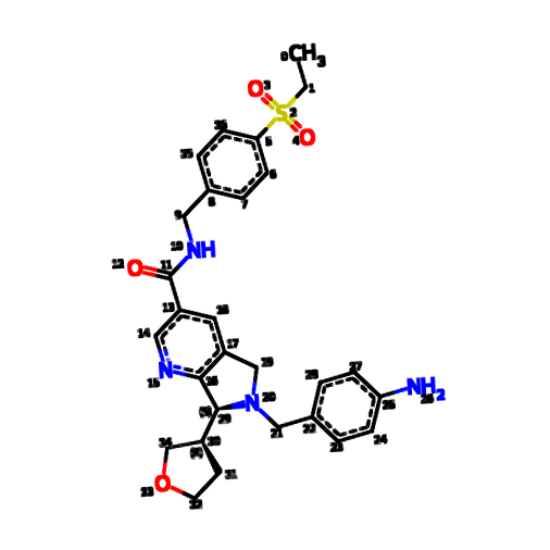 CCS(=O)(=O)c1ccc(CNC(=O)c2cnc3c(c2)CN(Cc2ccc(N)cc2)[C@H]3[C@H]2CCOC2)cc1